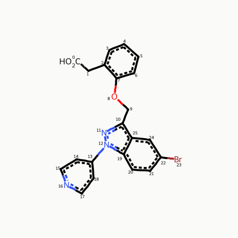 O=C(O)Cc1ccccc1OCc1nn(-c2ccncc2)c2ccc(Br)cc12